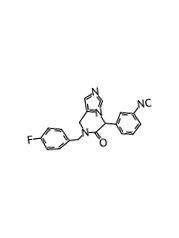 [C-]#[N+]c1cccc(C2C(=O)N(Cc3ccc(F)cc3)Cc3cncn32)c1